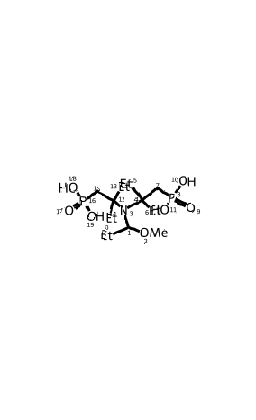 CCC(OC)N(C(CC)(CC)CP(=O)(O)O)C(CC)(CC)CP(=O)(O)O